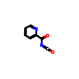 O=C=NC(=O)c1ccccn1